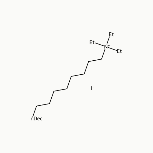 CCCCCCCCCCCCCCCCCC[N+](CC)(CC)CC.[I-]